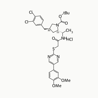 COc1ccc(-c2cnc(SCC(=O)NC(C)[C@@H]3C[C@@H](Cc4ccc(Cl)c(Cl)c4)CN3C(=O)OC(C)(C)C)nc2)cc1OC.Cl